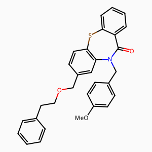 COc1ccc(CN2C(=O)c3ccccc3Sc3ccc(COCCc4ccccc4)cc32)cc1